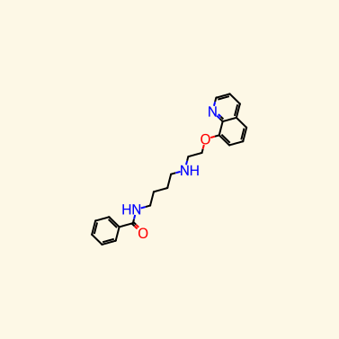 O=C(NCCCCNCCOc1cccc2cccnc12)c1ccccc1